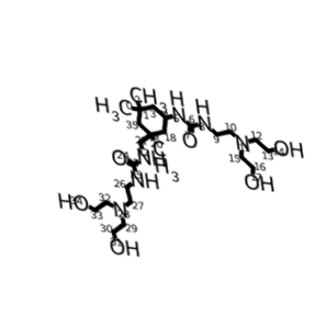 CC1(C)CC(NC(=O)NCCN(CCO)CCO)CC(C)(CNC(=O)NCCN(CCO)CCO)C1